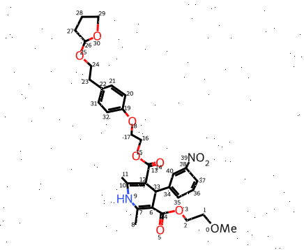 COCCOC(=O)C1=C(C)NC(C)=C(C(=O)OCCOc2ccc(CCOC3CCCO3)cc2)C1c1cccc([N+](=O)[O-])c1